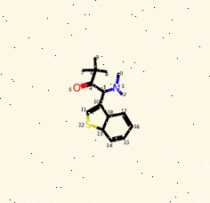 CN(C)C(C(=O)C(C)(C)C)C1=CSC2C=CC=CC12